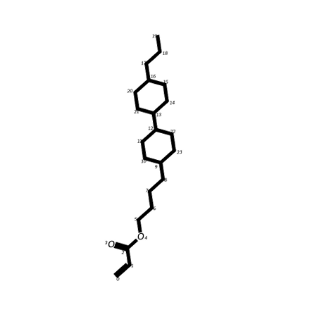 C=CC(=O)OCCCCC1CCC(C2CCC(CCC)CC2)CC1